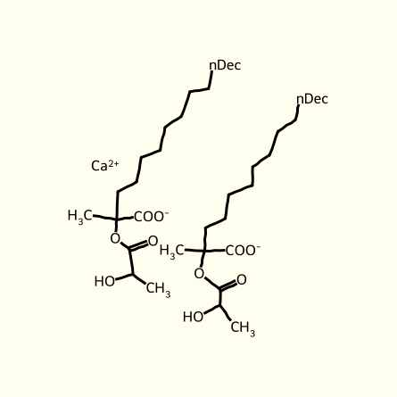 CCCCCCCCCCCCCCCCCCC(C)(OC(=O)C(C)O)C(=O)[O-].CCCCCCCCCCCCCCCCCCC(C)(OC(=O)C(C)O)C(=O)[O-].[Ca+2]